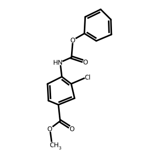 COC(=O)c1ccc(NC(=O)Oc2ccccc2)c(Cl)c1